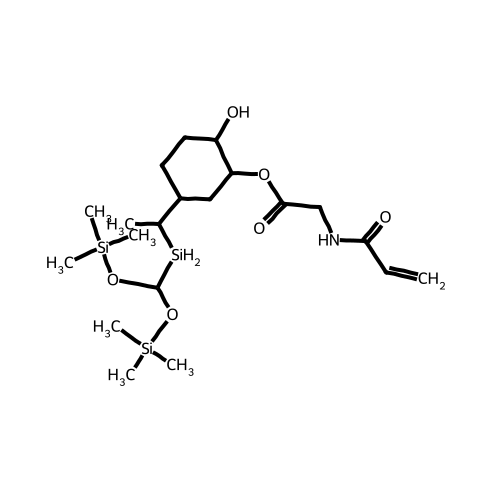 C=CC(=O)NCC(=O)OC1CC(C(C)[SiH2]C(O[Si](C)(C)C)O[Si](C)(C)C)CCC1O